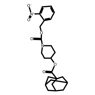 O=C(OCc1ccccc1[N+](=O)[O-])N1CCC(OC(=O)C23CC4CC(CC(C4)C2)C3)CC1